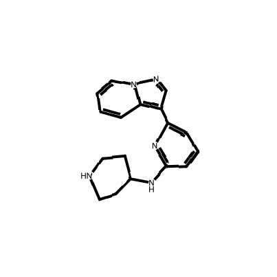 c1cc(NC2CCNCC2)nc(-c2cnn3ccccc23)c1